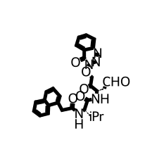 CC(C)[C@H](NC(=O)Cc1cccc2ccccc12)C(=O)N[C@@H](CC=O)C(=O)COn1nnc2ccccc2c1=O